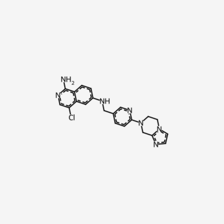 Nc1ncc(Cl)c2cc(NCc3ccc(N4CCn5ccnc5C4)nc3)ccc12